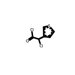 O=C(Cl)C(Cl)c1ccsc1